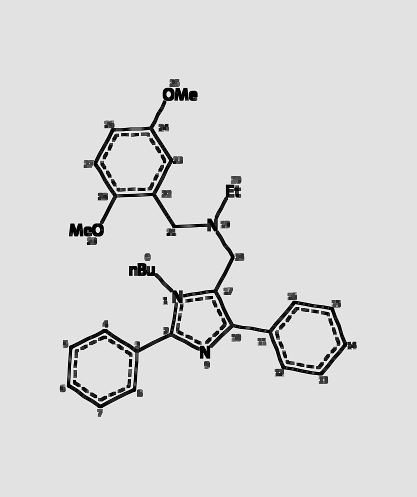 CCCCn1c(-c2ccccc2)nc(-c2ccccc2)c1CN(CC)Cc1cc(OC)ccc1OC